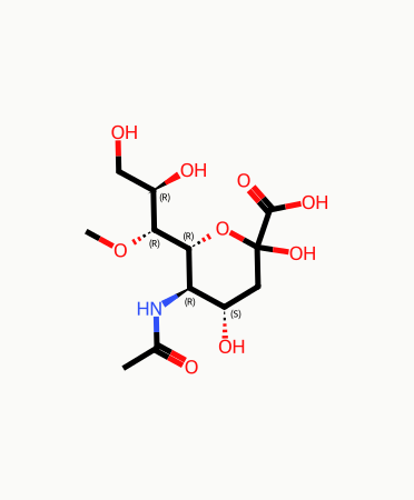 CO[C@@H]([C@@H]1OC(O)(C(=O)O)C[C@H](O)[C@H]1NC(C)=O)[C@H](O)CO